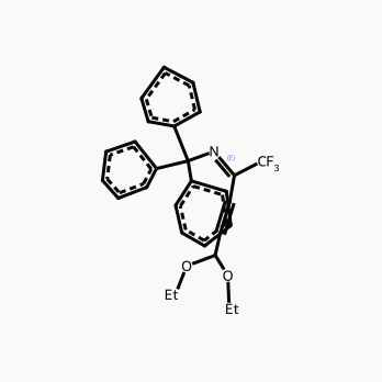 CCOC(C#C/C(=N\C(c1ccccc1)(c1ccccc1)c1ccccc1)C(F)(F)F)OCC